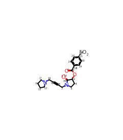 O=C(OC1CCN(CC#CCN2CCCC2)C1=O)c1ccc([N+](=O)[O-])cc1